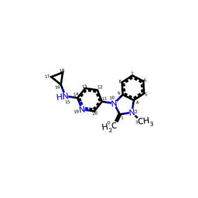 C=C1N(C)c2ccccc2N1c1ccc(NC2CC2)nc1